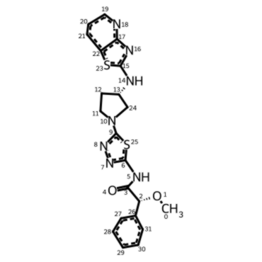 CO[C@@H](C(=O)Nc1nnc(N2CC[C@H](Nc3nc4ncccc4s3)C2)s1)c1ccccc1